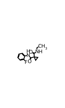 CCNC(=O)C1(C(=O)Nc2ccccc2F)CC1